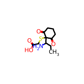 CCC(N)C1(SCC(=O)O)C(=O)CCCC1=O